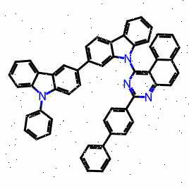 c1ccc(-c2ccc(-c3nc(-n4c5ccccc5c5ccc(-c6ccc7c(c6)c6ccccc6n7-c6ccccc6)cc54)c4c(ccc5ccccc54)n3)cc2)cc1